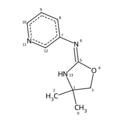 CC1(C)COC(=Nc2cccnc2)N1